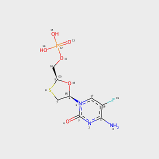 Nc1nc(=O)n([C@H]2CS[C@@H](COP(=O)(O)O)O2)cc1F